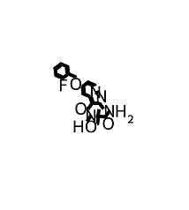 Cc1nn2ccc(OCc3ccccc3F)cc2c1C(=O)N(C)C(C)(CO)C(N)=O